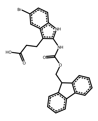 O=C(O)CCc1c(NC(=O)OCC2c3ccccc3-c3ccccc32)[nH]c2ccc(Br)cc12